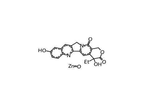 CCC1(O)C(=O)OCc2c1cc1n(c2=O)Cc2cc3cc(O)ccc3nc2-1.[O]=[Zn]